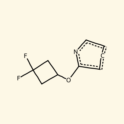 FC1(F)CC(Oc2ccccn2)C1